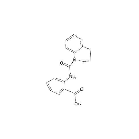 O=C(O)c1ccccc1NC(=O)N1CCCc2ccccc21